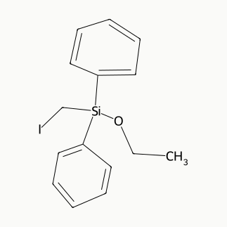 CCO[Si](CI)(c1ccccc1)c1ccccc1